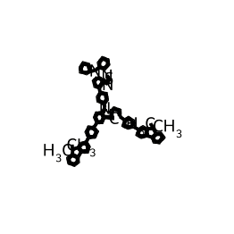 CC1(C)c2ccccc2-c2ccc(-c3ccc(-c4ccc5c(c4)c4cc(-c6ccc(-c7ccc8c(c7)C(C)(C)c7ccccc7-8)cc6)ccc4n5-c4ccc(-c5ccc(N(c6ccccc6)c6ccccc6)c6nsnc56)cc4)cc3)cc21